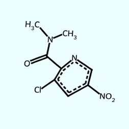 CN(C)C(=O)c1ncc([N+](=O)[O-])cc1Cl